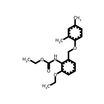 CCOC(=O)Nc1c(COc2ccc(C)cc2C)cccc1OCC